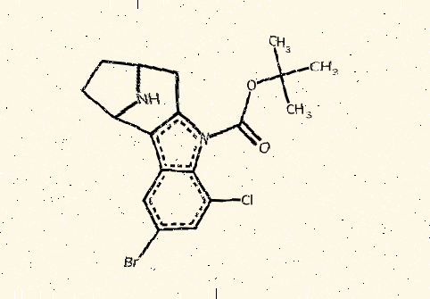 CC(C)(C)OC(=O)n1c2c(c3cc(Br)cc(Cl)c31)C1CCC(C2)N1